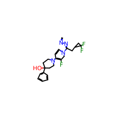 C=N/N=C(/CC1CC1(F)F)N1C=CC(N2CCC(O)(c3ccccc3)CC2)=C(F)C1